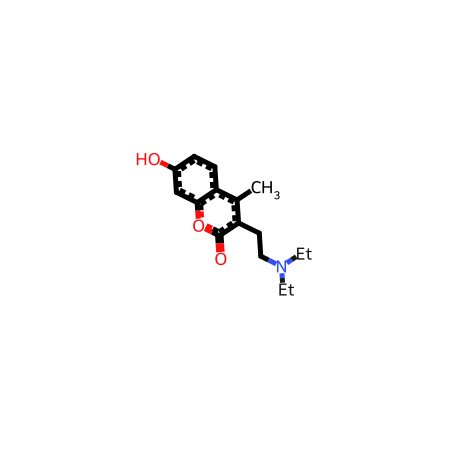 CCN(CC)CCc1c(C)c2ccc(O)cc2oc1=O